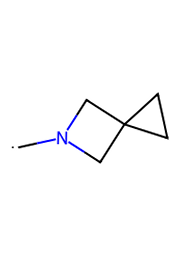 [CH2]N1CC2(CC2)C1